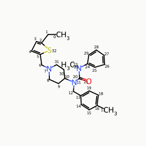 CCc1ccc(CN2CCC(N(Cc3ccc(C)cc3)C(=O)N(C)c3ccccc3)CC2)s1